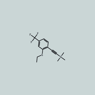 CCSc1cc(C(F)(F)F)ccc1C#C[Si](C)(C)C